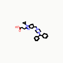 O=C(O)CCc1nc2cc(CN3CCN(C(c4ccccc4)c4ccccc4)CC3)ccc2n1C1CC1